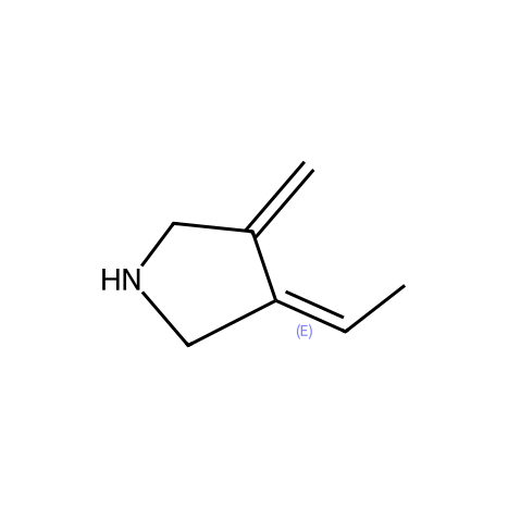 C=C1CNC/C1=C/C